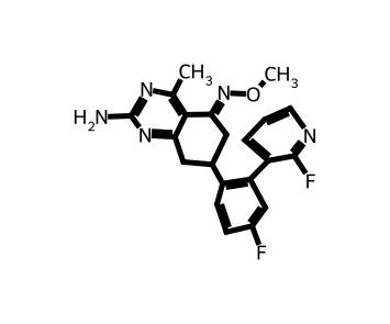 CON=C1CC(c2ccc(F)cc2-c2cccnc2F)Cc2nc(N)nc(C)c21